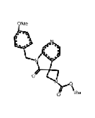 COc1ccc(CN2C(=O)C3(CN(C(=O)OC(C)(C)C)C3)c3ccncc32)cc1